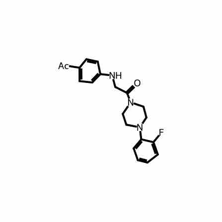 CC(=O)c1ccc(NCC(=O)N2CCN(c3ccccc3F)CC2)cc1